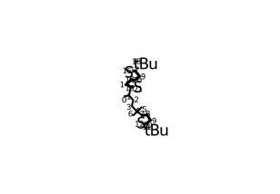 CC(CCC(C)(C)c1ccc(C(C)(C)C)s1)c1cc2sc(C(C)(C)C)cc2s1